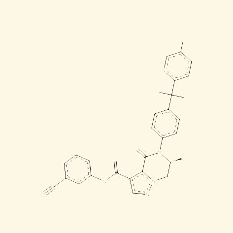 C[C@H]1Cn2ncc(C(=O)Nc3cccc(C#N)c3)c2C(=O)N1c1ccc(C(F)(F)c2ccc(F)cn2)cc1